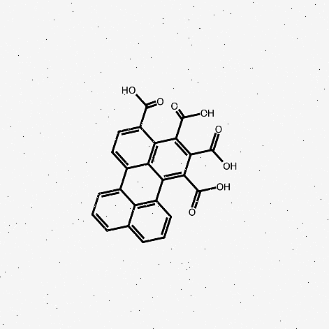 O=C(O)c1c(C(=O)O)c2c(C(=O)O)ccc3c4cccc5cccc(c(c1C(=O)O)c23)c54